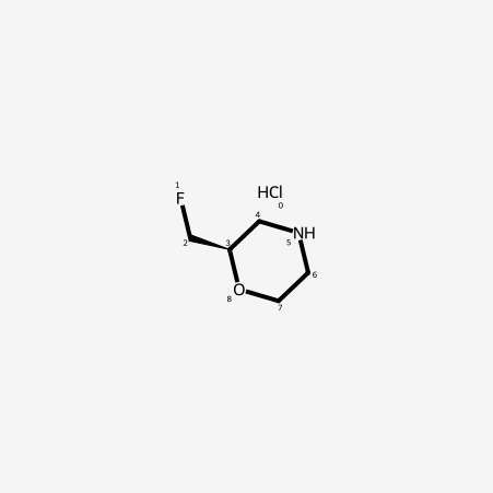 Cl.FC[C@H]1CNCCO1